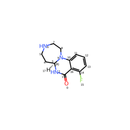 O=C1N[C@H]2CCNCCN2c2cccc(F)c21